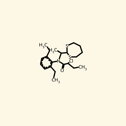 CCc1cccc(CC)c1N(C(=O)C(Cl)CC)C(C)C1SCCCCS1